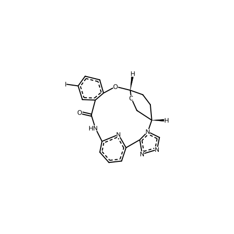 O=C1Nc2cccc(n2)-c2nncn2[C@H]2CC[C@H](CC2)Oc2ccc(I)cc21